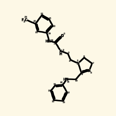 O=C(NCCN1CCN=C1CNc1ccccc1)Nc1cccc(C(F)(F)F)c1